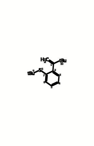 C=C(c1ccccc1SC(C)(C)C)C(C)(C)C